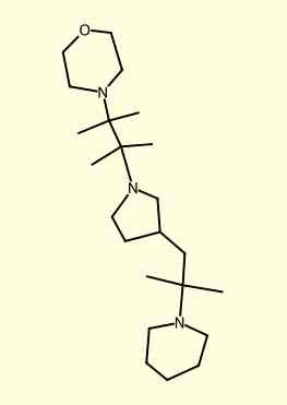 CC(C)(CC1CCN(C(C)(C)C(C)(C)N2CCOCC2)C1)N1CCCCC1